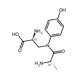 C[C@H](N)C(=O)N(C[C@H](N)C(=O)O)c1ccc(O)cc1